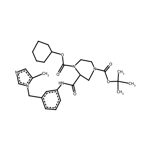 Cc1cncn1Cc1cccc(NC(=O)C2CN(C(=O)OC(C)(C)C)CCN2C(=O)OC2CCCCC2)c1